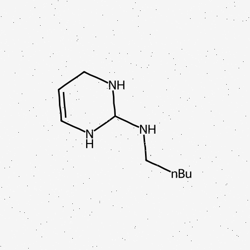 CCCCCNC1NC=CCN1